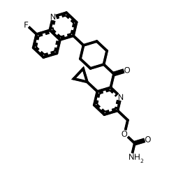 NC(=O)OCc1ccc(C2CC2)c(C(=O)C2CCC(c3ccnc4c(F)cccc34)CC2)n1